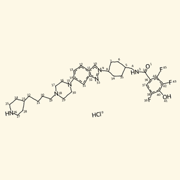 Cl.O=C(NCC1CCC(n2cc3ccc(N4CCN(CCCCC5CCNCC5)CC4)cc3n2)CC1)c1cc(F)c(O)c(F)c1F